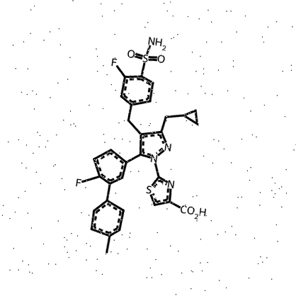 Cc1ccc(-c2cc(-c3c(Cc4ccc(S(N)(=O)=O)c(F)c4)c(CC4CC4)nn3-c3nc(C(=O)O)cs3)ccc2F)cc1